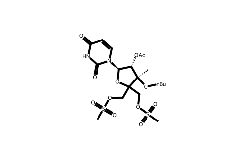 CCCCO[C@]1(C)[C@@H](OC(C)=O)[C@H](n2ccc(=O)[nH]c2=O)OC1(COS(C)(=O)=O)COS(C)(=O)=O